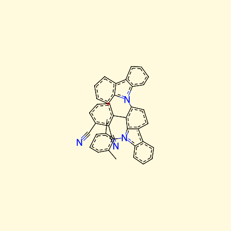 Cc1cccc(C)c1-n1c2ccccc2c2ccc(-n3c4ccccc4c4ccccc43)c(-c3cccc(C#N)c3C#N)c21